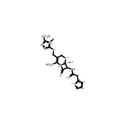 CCOC(=O)c1nnc(SCC2=C(C(=O)O)N3C(=O)C(NC(=O)Cc4cccs4)[C@@H]3SC2)n1C